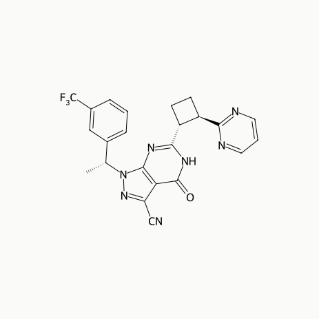 C[C@H](c1cccc(C(F)(F)F)c1)n1nc(C#N)c2c(=O)[nH]c([C@@H]3CC[C@H]3c3ncccn3)nc21